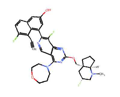 C#Cc1c(F)ccc2cc(O)cc(-c3ncc4c(N5CCCOCC5)nc(OC[C@]56CCC[C@H]5N(C)C[C@H](F)C6)nc4c3F)c12